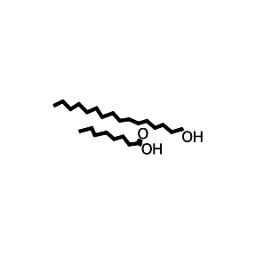 CCCCCCCC(=O)O.CCCCCCCCCCCCCCCCO